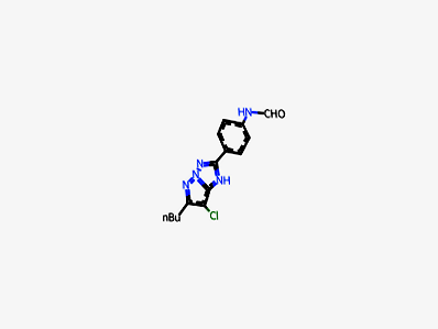 CCCCc1nn2nc(-c3ccc(NC=O)cc3)[nH]c2c1Cl